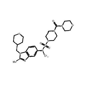 CN(c1ccc2c(c1)nc(C(C)(C)C)n2CC1CCOCC1)S(=O)(=O)N1CCN(C(=O)N2CCOCC2)CC1